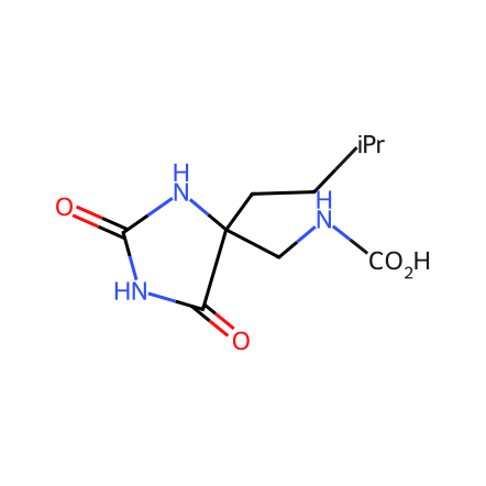 CC(C)CCC1(CNC(=O)O)NC(=O)NC1=O